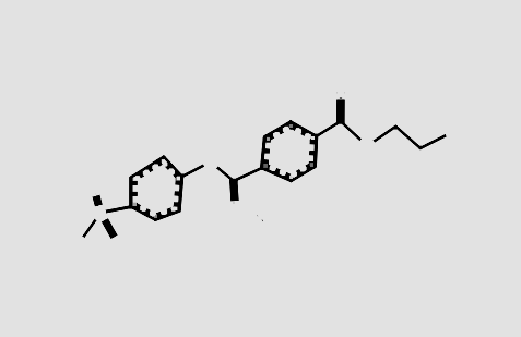 CCCOC(=O)c1ccc(C(=O)Oc2ccc(S(=O)(=O)[O-])cc2)cc1.[Na+]